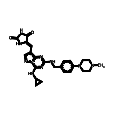 CN1CCN(c2ccc(CNc3nc(NC4CC4)n4ncc(/C=C5\NC(=O)NC5=O)c4n3)cc2)CC1